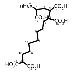 CCCCCCC(CC(C(=O)O)C(CCCCCCCC(C(=O)O)C(=O)O)C(=O)O)C(=O)O